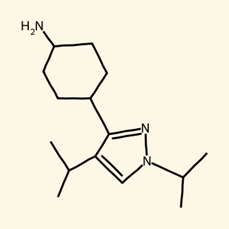 CC(C)c1cn(C(C)C)nc1C1CCC(N)CC1